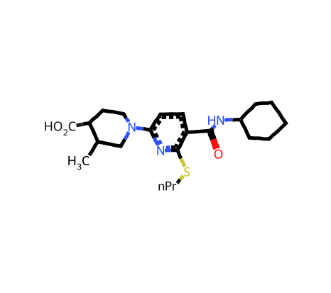 CCCSc1nc(N2CCC(C(=O)O)C(C)C2)ccc1C(=O)NC1CCCCC1